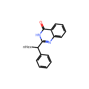 CCCCCCC(c1ccccc1)c1nc2ccccc2c(=O)[nH]1